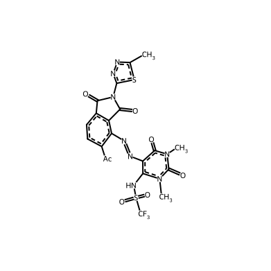 CC(=O)c1ccc2c(c1N=Nc1c(NS(=O)(=O)C(F)(F)F)n(C)c(=O)n(C)c1=O)C(=O)N(c1nnc(C)s1)C2=O